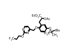 CCOC(=O)[C@@H](Cc1cc(O[Si](C)(C)C(C)(C)C)ccc1OCc1ccnc(OCCC(F)(F)F)n1)OC(C)=O